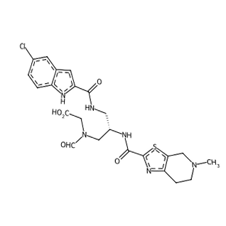 CN1CCc2nc(C(=O)N[C@@H](CNC(=O)c3cc4cc(Cl)ccc4[nH]3)CN(C=O)CC(=O)O)sc2C1